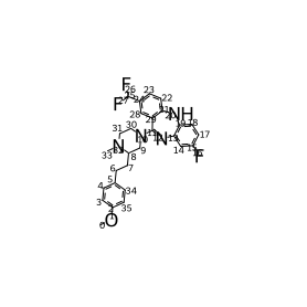 COc1ccc(CCC2CN(C3=Nc4cc(F)ccc4Nc4ccc(C(F)F)cc43)CCN2C)cc1